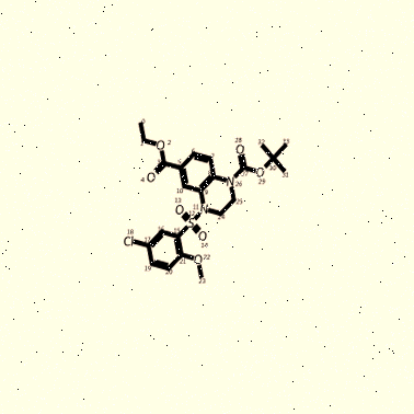 CCOC(=O)c1ccc2c(c1)N(S(=O)(=O)c1cc(Cl)ccc1OC)CCN2C(=O)OC(C)(C)C